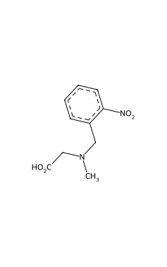 CN(CC(=O)O)Cc1ccccc1[N+](=O)[O-]